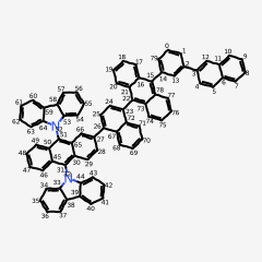 c1cc(-c2ccc3ccccc3c2)cc(-c2c3ccccc3c(-c3ccc(-c4ccc5c(-n6c7ccccc7c7ccccc76)c6ccccc6c(-n6c7ccccc7c7ccccc76)c5c4)c4ccccc34)c3ccccc23)c1